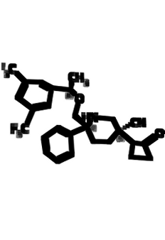 C[C@@H](OC[C@]1(c2ccccc2)CC[C@](C#N)(C2CCC2=O)CN1)c1cc(C(F)(F)F)cc(C(F)(F)F)c1